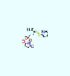 C[C@H](CCC(=O)ON1C(=O)CCC1=O)SSc1ccccn1